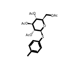 CC(=O)OC[C@H]1O[C@@H](Sc2ccc(C)cc2)[C@H](OC(C)=O)[C@@H](OC(C)=O)[C@@H]1OC(C)=O